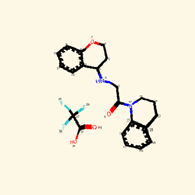 O=C(CNC1CCOc2ccccc21)N1CCCc2ccccc21.O=C(O)C(F)(F)F